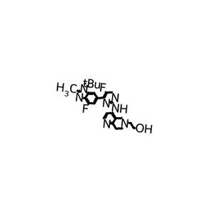 Cc1nc2c(F)cc(-c3nc(Nc4ccnc5c4CN(CCO)CC5)ncc3F)cc2n1C(C)(C)C